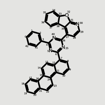 c1ccc(-c2nc(-c3cccc4c3ccc3c5ccccc5ccc43)nc(-c3ccnc4oc5ccccc5c34)n2)cc1